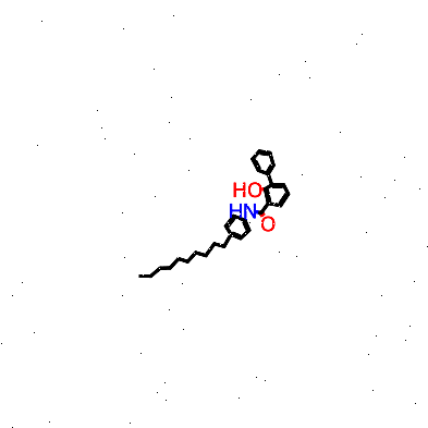 CCCCCCCCCCc1ccc(NC(=O)c2cccc(-c3ccccc3)c2O)cc1